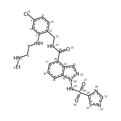 CCNCCNc1cc(Cl)ccc1CNC(=O)c1cccc2c1cnn2NS(=O)(=O)c1ncns1